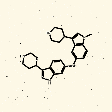 Cn1cc(C2CCNCC2)c2cc(Nc3ccc4c(C5CCNCC5)c[nH]c4c3)ccc21